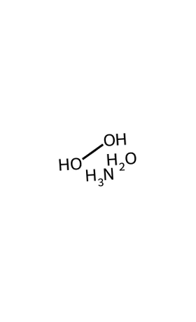 N.O.OO